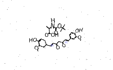 CC(NC(=O)OC(C)(C)C)C(=O)O.COc1cc(/C=C/C(=O)CC(=O)/C=C/C2CC=C(O)C(OC)C2)ccc1O